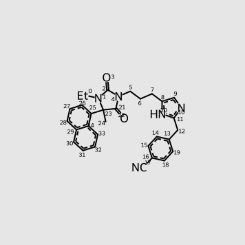 CCN1C(=O)N(CCCc2cnc(Cc3ccc(C#N)cc3)[nH]2)C(=O)C1(C)c1cccc2ccccc12